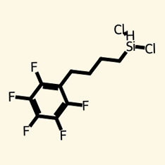 Fc1c(F)c(F)c(CCCC[SiH](Cl)Cl)c(F)c1F